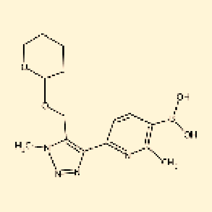 Cc1nc(-c2nnn(C)c2COC2CCCCO2)ccc1B(O)O